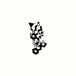 CCCN(c1c(COC2OCCC2(Cc2ccccc2)NC(=O)O)ccnc1N(CCOC)C[C@H]1C[C@@H]1C)S(C)(=O)=O